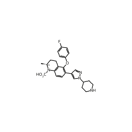 C[C@H]1CCc2c(ccc(-c3cnn(C4CCNCC4)c3)c2Oc2ccc(F)cc2)N1C(=O)O